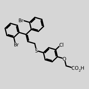 O=C(O)COc1ccc(SCC=C(c2ccccc2Br)c2ccccc2Br)cc1Cl